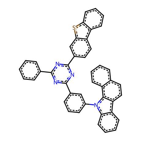 c1ccc(-c2nc(-c3cccc(-n4c5ccccc5c5ccc6ccccc6c54)c3)nc(-c3ccc4c(c3)sc3ccccc34)n2)cc1